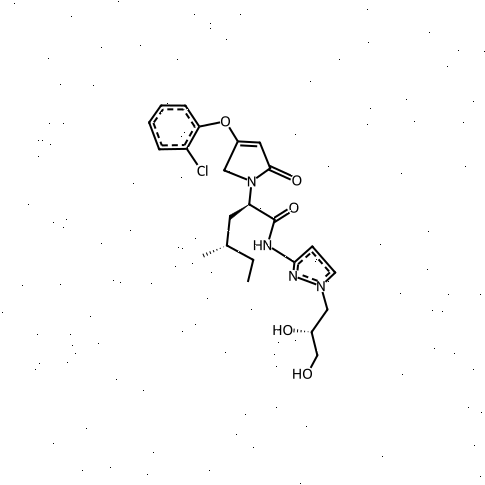 CC[C@H](C)C[C@H](C(=O)Nc1ccn(C[C@@H](O)CO)n1)N1CC(Oc2ccccc2Cl)=CC1=O